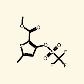 COC(=O)c1sc(C)cc1OS(=O)(=O)C(F)(F)F